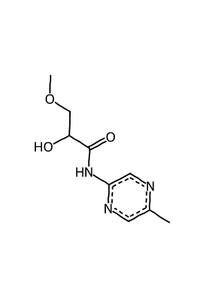 COCC(O)C(=O)Nc1cnc(C)cn1